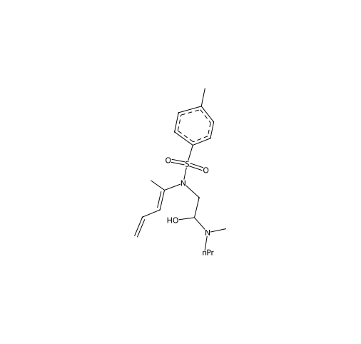 C=C/C=C(\C)N(CC(O)N(C)CCC)S(=O)(=O)c1ccc(C)cc1